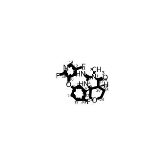 CN1C(=N)N[C@@]2(c3cc(Oc4cc(F)cnc4F)ccc3F)COCC[C@H]2C1=O